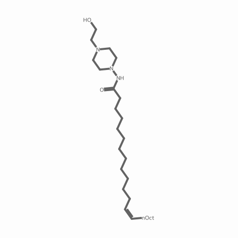 CCCCCCCC/C=C\CCCCCCCCCCCC(=O)NN1CCN(CCO)CC1